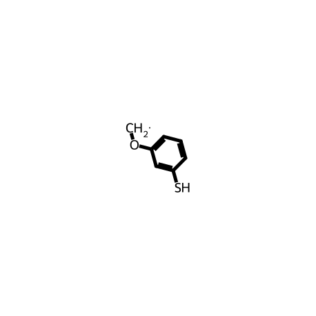 [CH2]Oc1cccc(S)c1